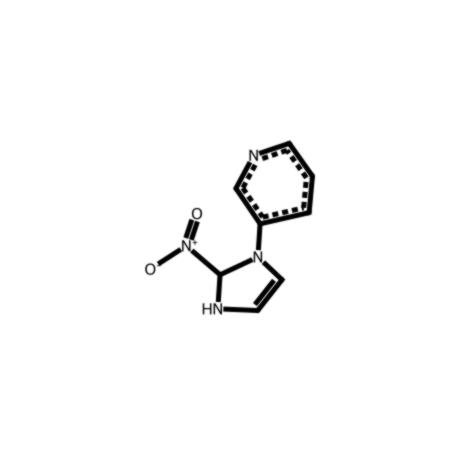 O=[N+]([O-])C1NC=CN1c1cccnc1